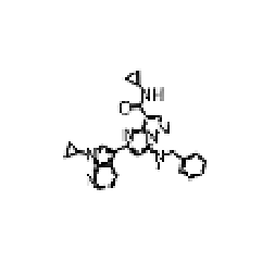 CN(Cc1ccccc1)c1cc(-c2cn(C3CC3)c3ncccc23)nc2c(C(=O)NC3CC3)cnn12